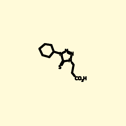 O=C(O)CCn1nnn(C2CCCCC2)c1=S